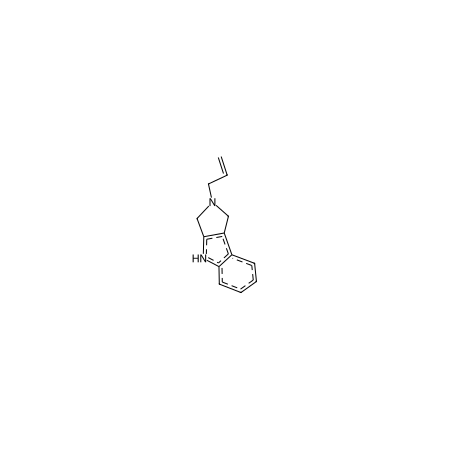 C=CCN1Cc2[nH]c3ccccc3c2C1